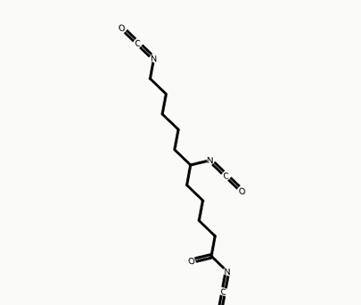 O=C=NCCCCCC(CCCCC(=O)N=C=O)N=C=O